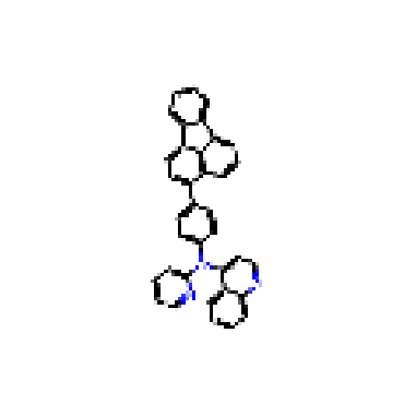 c1ccc(N(c2ccc(-c3ccc4c5c(cccc35)-c3ccccc3-4)cc2)c2ccnc3ccccc23)nc1